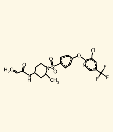 C=CC(=O)NC1CCN(S(=O)(=O)c2ccc(Oc3ncc(C(F)(F)F)cc3Cl)cc2)C(C)C1